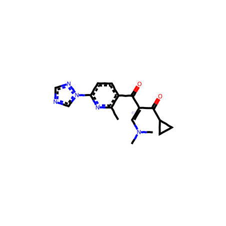 Cc1nc(-n2cncn2)ccc1C(=O)/C(=C/N(C)C)C(=O)C1CC1